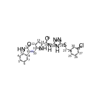 O=C1Nc2ccccc2/C1=C/c1ccc(C(=O)Nc2nnc(SCc3cccc(Cl)c3)[nH]2)[nH]1